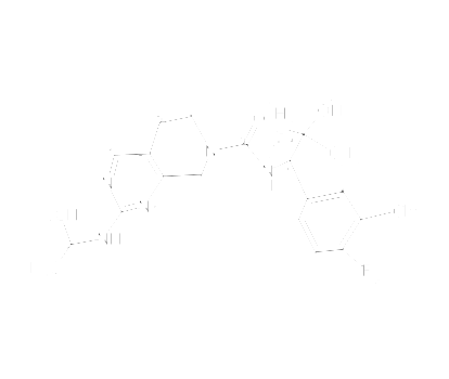 CC(C)Nc1ncc2c(n1)CN(C(=O)NC(c1ccc(F)c(Cl)c1)C(C)(C)O)CC2